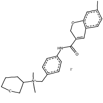 Cc1ccc2c(c1)OCC(C(=O)Nc1ccc(C[N+](C)(C)C3CCCCC3)cc1)=C2.[I-]